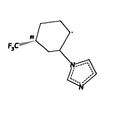 FC(F)(F)[C@@H]1CC[CH]C(n2ccnc2)C1